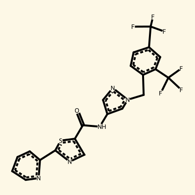 O=C(Nc1cnn(Cc2ccc(C(F)(F)F)cc2C(F)(F)F)c1)c1cnc(-c2ccccn2)s1